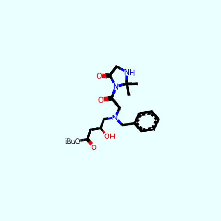 CC(C)COC(=O)CC(O)CN(CC(=O)N1C(=O)CNC1(C)C)Cc1ccccc1